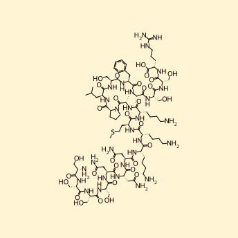 CSCC[C@H](NC(=O)[C@H](CCCCN)NC(=O)[C@H](CCCCN)NC(=O)[C@H](CC(N)=O)NC(=O)[C@H](CC(N)=O)NC(=O)[C@H](CC(N)=O)NC(=O)[C@H](CO)NC(=O)[C@H](CO)NC(=O)[C@H](CO)NC(=O)[C@@H](N)CO)C(=O)N[C@@H](CCCCN)C(=O)N[C@@H](C)C(=O)N1CCC[C@H]1C(=O)N[C@@H](CC(C)C)C(=O)N[C@@H](CO)C(=O)N[C@@H](Cc1ccccc1)C(=O)N[C@@H](C)C(=O)N[C@@H](CO)C(=O)N[C@@H](CO)C(=O)N[C@@H](CCCNC(=N)N)C(=O)O